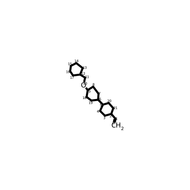 C=CC1CCC(C2CCC(OCC3CCCCC3)CC2)CC1